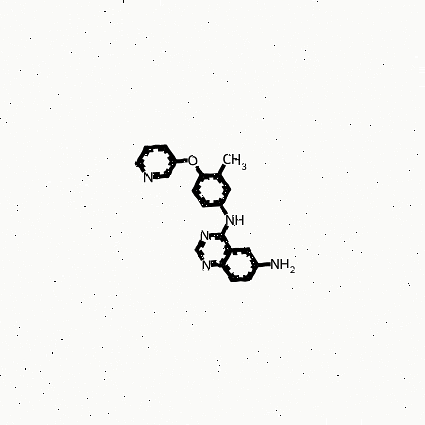 Cc1cc(Nc2ncnc3ccc(N)cc23)ccc1Oc1cccnc1